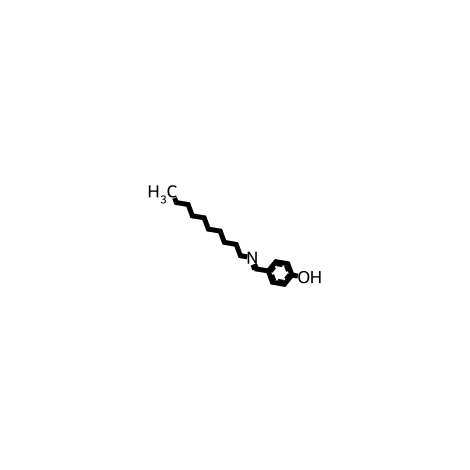 CCCCCCCCCCN=Cc1ccc(O)cc1